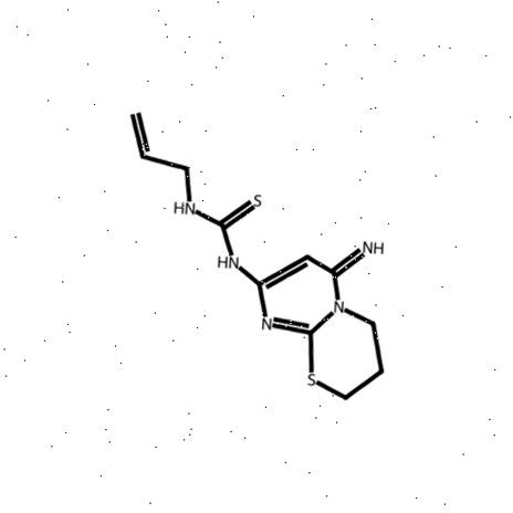 C=CCNC(=S)Nc1cc(=N)n2c(n1)SCCC2